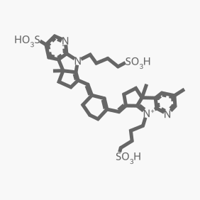 Cc1cnc2c(c1)C1(C)CC/C(=C\C3=CC(=C/C4=C5N(CCCCS(=O)(=O)O)c6ncc(S(=O)(=O)O)cc6C5(C)CC4)/CCC3)C1=[N+]2CCCCS(=O)(=O)O